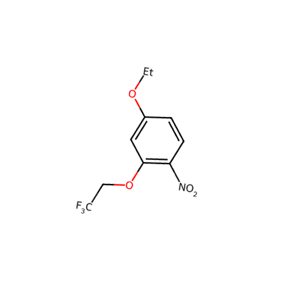 CCOc1ccc([N+](=O)[O-])c(OCC(F)(F)F)c1